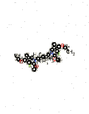 C=Cc1ccc(Oc2ccc(C3(c4ccc(F)cc4)c4ccccc4-c4ccc(N(c5ccc(-c6cc(C)c(-c7ccc(N(c8ccc9c(c8)C(c8ccc(F)cc8)(c8ccc(Oc%10ccc(C=C)cc%10)cc8)c8ccccc8-9)c8ccc9c(c8)oc8ccccc89)cc7C)cc6C)c(C)c5)c5ccc6c(c5)oc5ccccc56)cc43)cc2)cc1